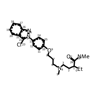 CCC(CCN(C)CCCOc1ccc(-n2nc3ccccc3c2Cl)cc1)C(=O)NC